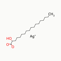 CCCCCCCCCCCCCCCCC(O)C(=O)[O-].[Ag+]